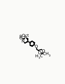 CCCCCCCCOc1ncc(-c2ccc(OCC3COC(C)(C)O3)cc2)cn1